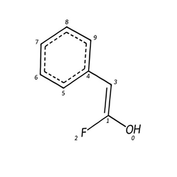 OC(F)=Cc1ccccc1